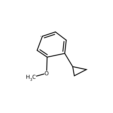 COc1c[c]ccc1C1CC1